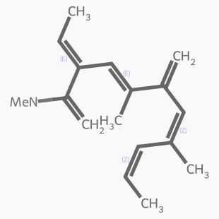 C=C(/C=C(C)\C=C/C)/C(C)=C/C(=C\C)C(=C)NC